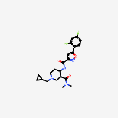 CN(C)C(=O)C1CN(CC2CC2)CCC1NC(=O)c1cc(-c2ccc(F)cc2F)on1